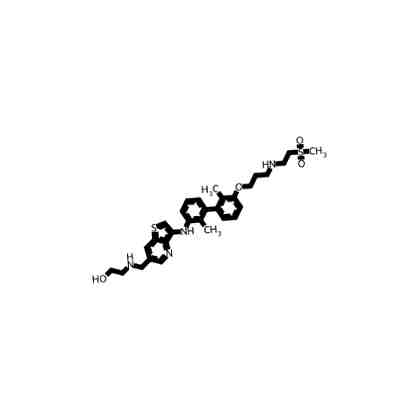 Cc1c(Nc2csc3cc(CNCCO)cnc23)cccc1-c1cccc(OCCCNCCS(C)(=O)=O)c1C